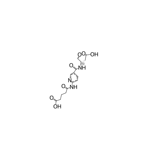 O=C[C@H](CC(=O)O)NC(=O)c1ccc(NC(=O)CCCC(=O)O)nc1